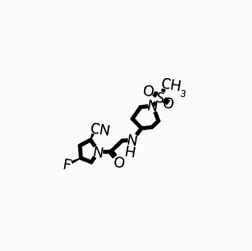 CS(=O)(=O)N1CCC(NCC(=O)N2C[C@@H](F)C[C@H]2C#N)CC1